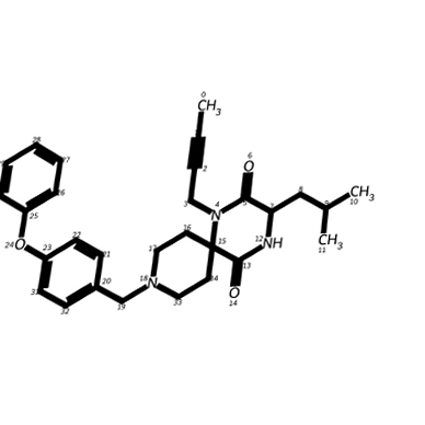 CC#CCN1C(=O)C(CC(C)C)NC(=O)C12CCN(Cc1ccc(Oc3ccccc3)cc1)CC2